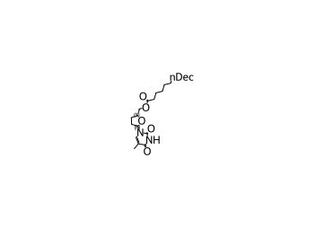 CCCCCCCCCCCCCCCC(=O)OC[C@@H]1CC[C@H](n2cc(C)c(=O)[nH]c2=O)O1